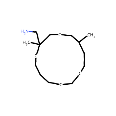 CC1CCCCCCCCCC(C)(CN)CCC1